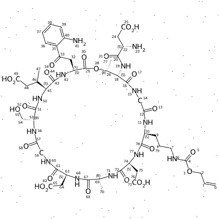 C=CCOC(=O)NCCC[C@@H]1NC(=O)CNC(=O)[C@@H](NC(=O)[C@@H](N)CC(=O)O)[C@@H](C)OC(=O)[C@H](CC(=O)c2ccccc2N)NC(=O)[C@H](C(C)CC(=O)O)NC(=O)[C@@H](CO)NC(=O)CNC(=O)[C@H](CC(=O)O)NC(=O)[C@@H](C)NC(=O)[C@H](CC(=O)O)NC1=O